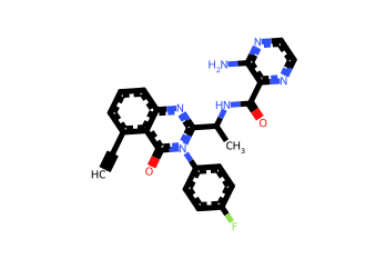 C#Cc1cccc2nc(C(C)NC(=O)c3nccnc3N)n(-c3ccc(F)cc3)c(=O)c12